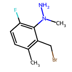 Cc1ccc(F)c(N(C)N)c1CBr